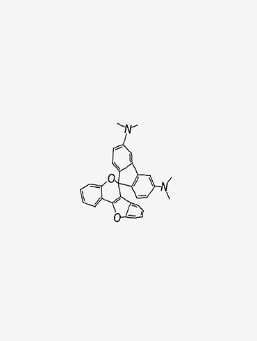 CN(C)c1ccc2c(c1)-c1cc(N(C)C)ccc1C21Oc2ccccc2-c2oc3ccccc3c21